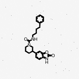 O=C(NCCCCc1ccccc1)N1CCCC(c2ccc3[nH]c(=O)oc3c2)C1